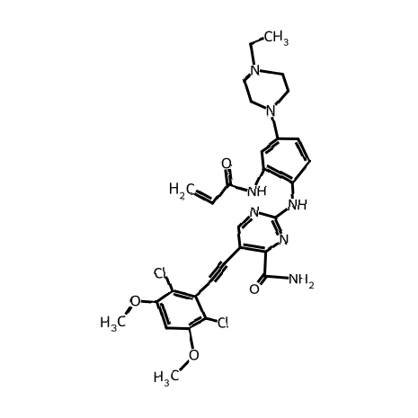 C=CC(=O)Nc1cc(N2CCN(CC)CC2)ccc1Nc1ncc(C#Cc2c(Cl)c(OC)cc(OC)c2Cl)c(C(N)=O)n1